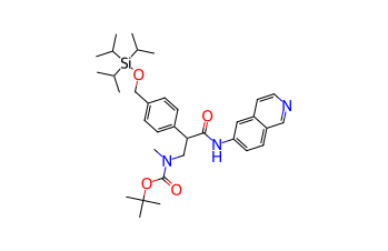 CC(C)[Si](OCc1ccc(C(CN(C)C(=O)OC(C)(C)C)C(=O)Nc2ccc3cnccc3c2)cc1)(C(C)C)C(C)C